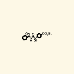 CCOC(=O)c1ccc(N(S)C(=O)Nc2noc3ccccc23)cc1